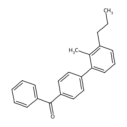 CCCc1cccc(-c2ccc(C(=O)c3ccccc3)cc2)c1C